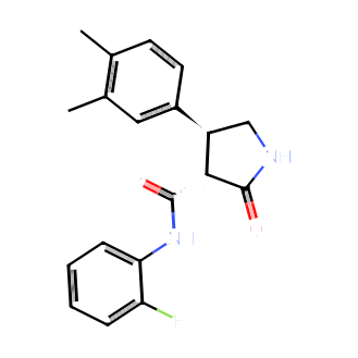 Cc1ccc([C@H]2CNC(=O)[C@@H]2C(=O)Nc2ccccc2F)cc1C